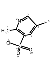 Cc1ncc(F)cc1S(=O)(=O)Cl